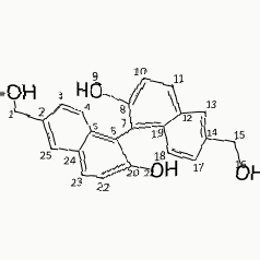 OCc1ccc2c(-c3c(O)ccc4cc(CO)ccc34)c(O)ccc2c1